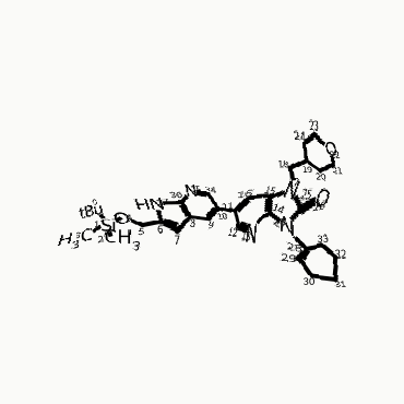 CC(C)(C)[Si](C)(C)OCc1cc2cc(-c3cnc4c(c3)n(CC3CCOCC3)c(=O)n4C3=CCCCC3)cnc2[nH]1